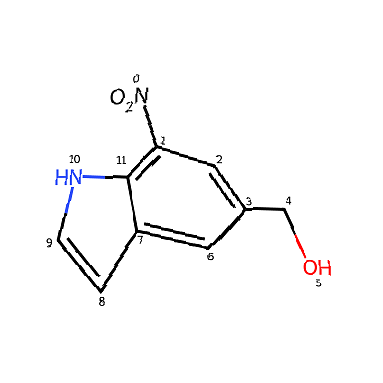 O=[N+]([O-])c1cc(CO)cc2cc[nH]c12